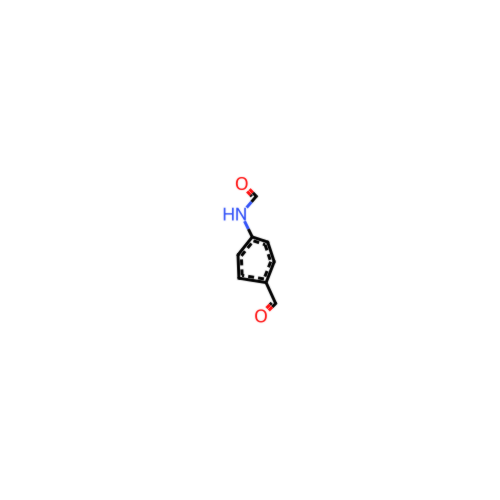 O=CNc1ccc(C=O)cc1